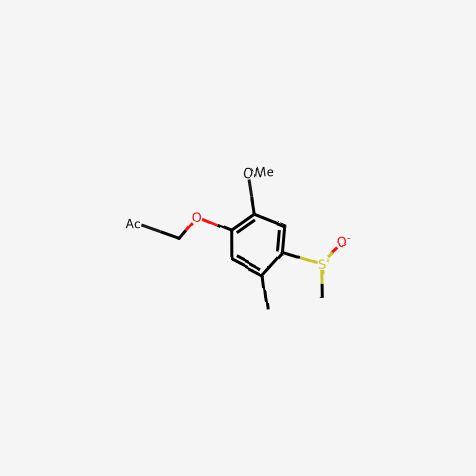 COc1cc([S+](C)[O-])c(C)cc1OCC(C)=O